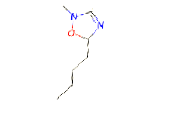 CCCCC1N=[C]N(C)O1